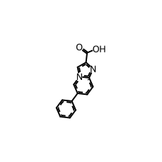 O=C(O)c1cn2cc(-c3ccccc3)ccc2n1